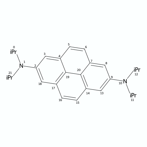 CC(C)N(c1cc2ccc3cc(N(C(C)C)C(C)C)cc4ccc(c1)c2c34)C(C)C